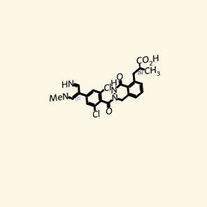 CN/C=C(\C=N)c1cc(Cl)c(C(=O)N2Cc3cccc(C[C@H](C)C(=O)O)c3C(=O)N2)c(Cl)c1